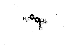 Cc1cccc(-c2ccc(C(C)(O)CCCCl)cc2)c1